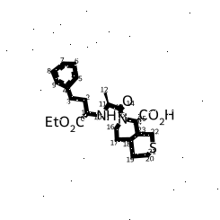 CCOC(=O)C(CCc1ccccc1)N[C@@H](C)C(=O)N1CCC2CCSCC2[C@H]1C(=O)O